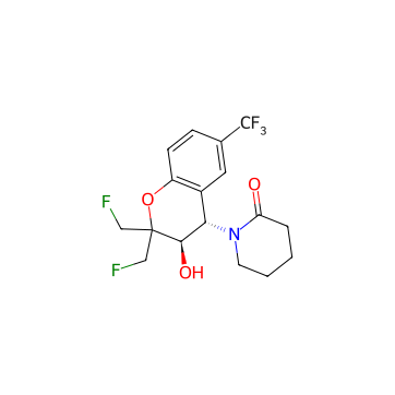 O=C1CCCCN1[C@H]1c2cc(C(F)(F)F)ccc2OC(CF)(CF)[C@@H]1O